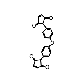 O=C1C=CC(=O)C1c1ccc(Oc2ccc(C3C(=O)C=CC3=O)cc2)cc1